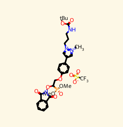 COP(=O)(OC)C(COc1ccc(-c2cn(CCCNC(=O)OC(C)(C)C)[n+](C)c2)cc1)ON1C(=O)c2ccccc2C1=O.O=S(=O)([O-])C(F)(F)F